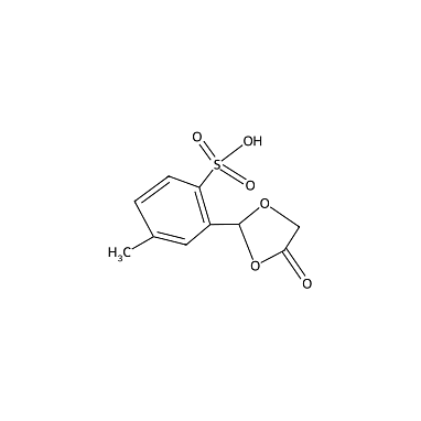 Cc1ccc(S(=O)(=O)O)c(C2OCC(=O)O2)c1